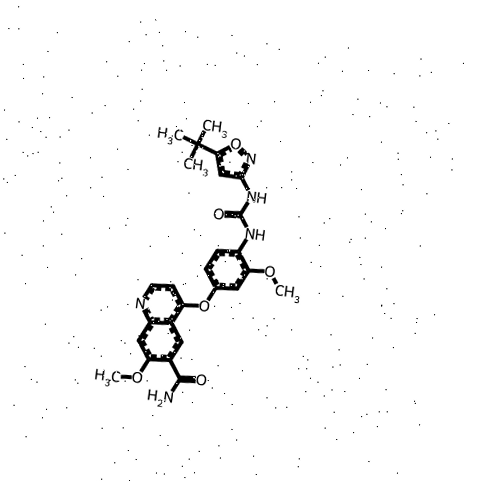 COc1cc(Oc2ccnc3cc(OC)c(C(N)=O)cc23)ccc1NC(=O)Nc1cc(C(C)(C)C)on1